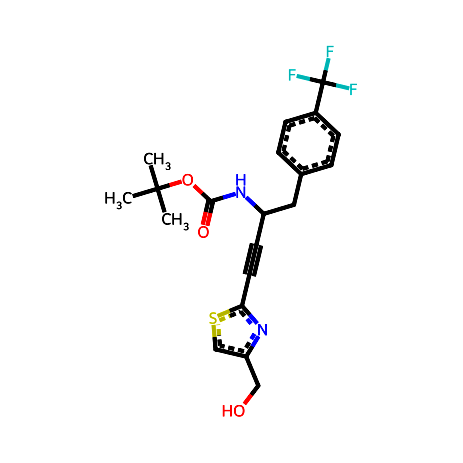 CC(C)(C)OC(=O)NC(C#Cc1nc(CO)cs1)Cc1ccc(C(F)(F)F)cc1